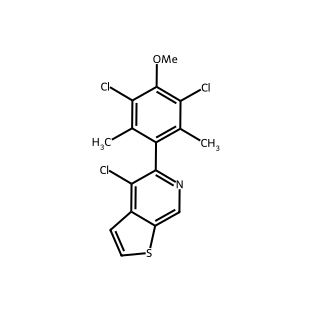 COc1c(Cl)c(C)c(-c2ncc3sccc3c2Cl)c(C)c1Cl